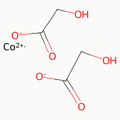 O=C([O-])CO.O=C([O-])CO.[Co+2]